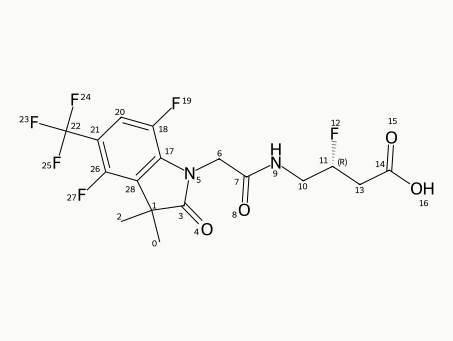 CC1(C)C(=O)N(CC(=O)NC[C@H](F)CC(=O)O)c2c(F)cc(C(F)(F)F)c(F)c21